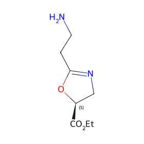 CCOC(=O)[C@@H]1CN=C(CCN)O1